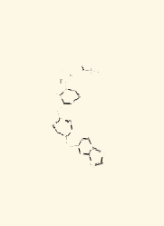 CC(Nc1cccc(Cc2ccc(Oc3ccc4[nH]cnc4c3)cc2)c1F)OC(=O)C(F)(F)F